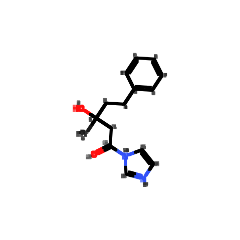 CCCC(O)(CCc1ccccc1)CC(=O)n1ccnc1